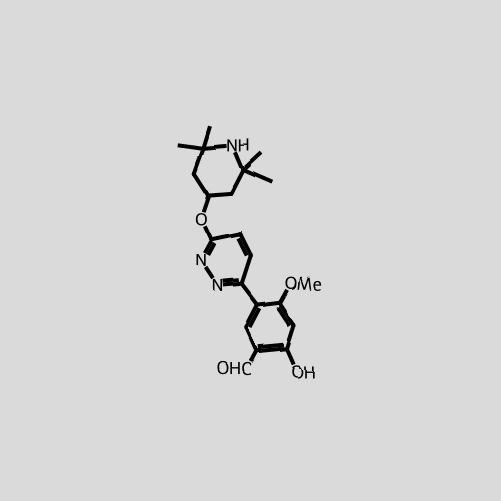 COc1cc(O)c(C=O)cc1-c1ccc(OC2CC(C)(C)NC(C)(C)C2)nn1